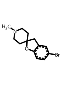 CN1CCC2(CC1)Cc1cc(Br)ccc1O2